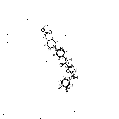 COC(=O)CC1CCN(c2ccc(NC(=O)c3nnc(Nc4ccc(F)c(F)c4)o3)cn2)CC1